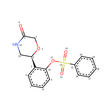 O=C1CO[C@@H](c2ccccc2OS(=O)(=O)c2ccccc2)CN1